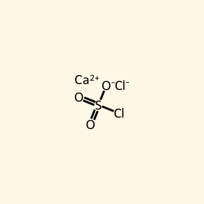 O=S(=O)([O-])Cl.[Ca+2].[Cl-]